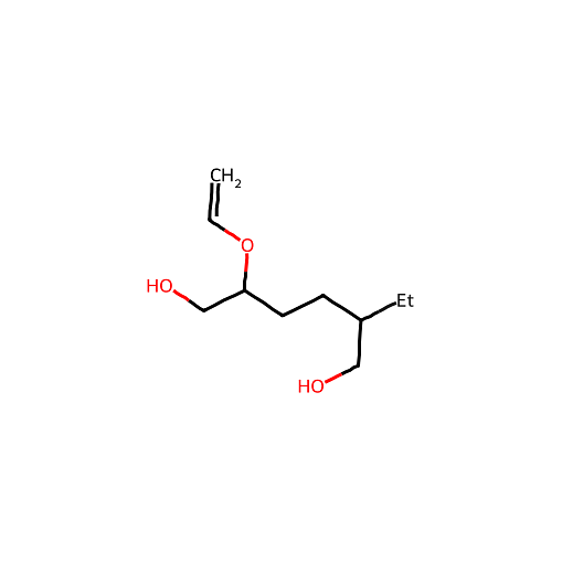 C=COC(CO)CCC(CC)CO